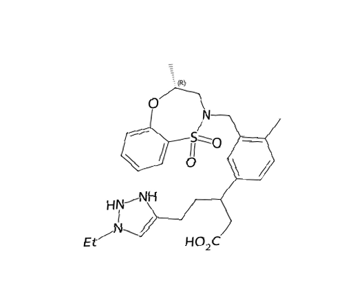 CCN1C=C(CCC(CC(=O)O)c2ccc(C)c(CN3C[C@@H](C)Oc4ccccc4S3(=O)=O)c2)NN1